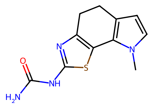 Cn1ccc2c1-c1sc(NC(N)=O)nc1CC2